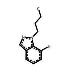 ClCCCn1ncc2cccc(Br)c21